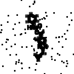 Cc1c(C(C)OC(=O)Nc2ccccc2)sc2nc(CC3CC3)nn12